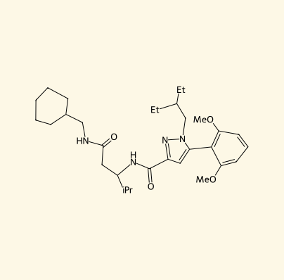 CCC(CC)Cn1nc(C(=O)NC(CC(=O)NCC2CCCCC2)C(C)C)cc1-c1c(OC)cccc1OC